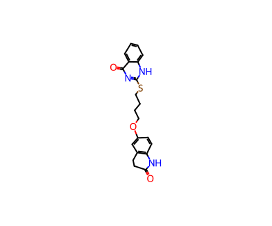 O=C1CCc2cc(OCCCCSc3nc(=O)c4ccccc4[nH]3)ccc2N1